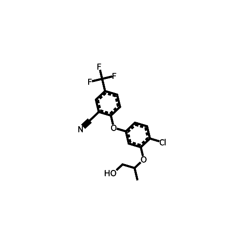 CC(CO)Oc1cc(Oc2ccc(C(F)(F)F)cc2C#N)ccc1Cl